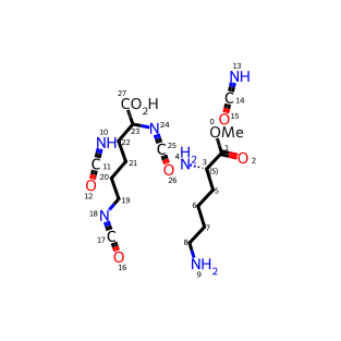 COC(=O)[C@@H](N)CCCCN.N=C=O.N=C=O.O=C=NCCCCC(N=C=O)C(=O)O